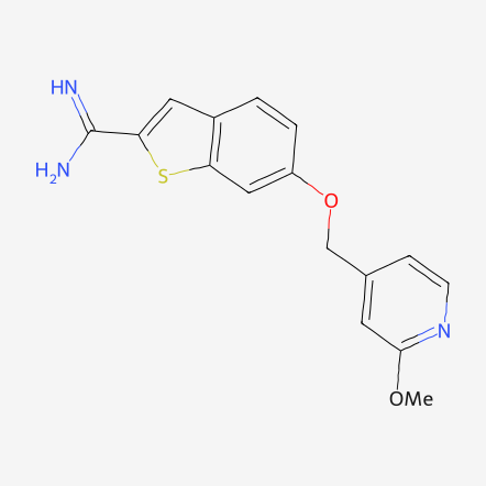 COc1cc(COc2ccc3cc(C(=N)N)sc3c2)ccn1